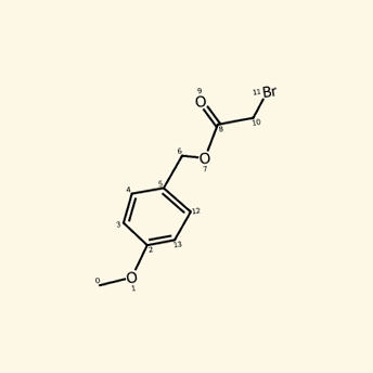 COc1ccc(COC(=O)CBr)cc1